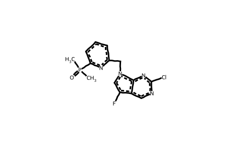 CP(C)(=O)c1cccc(Cn2cc(F)c3cnc(Cl)nc32)n1